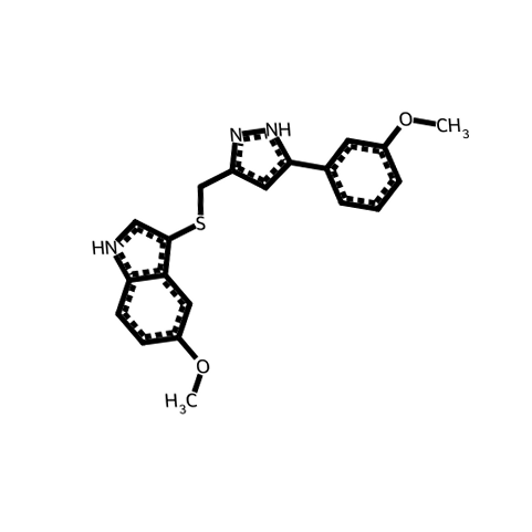 COc1cccc(-c2cc(CSc3c[nH]c4ccc(OC)cc34)n[nH]2)c1